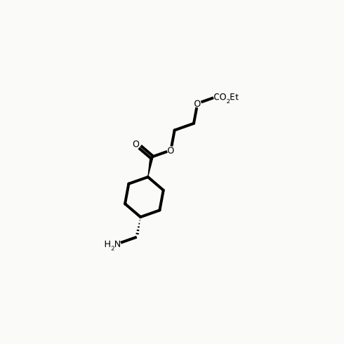 CCOC(=O)OCCOC(=O)[C@H]1CC[C@H](CN)CC1